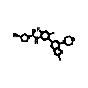 CC[C@@H]1CCN(C(=O)Nc2cc(-c3cc(N4CCOCC4)c4nc(C)cn4c3)c(C)cc2F)C1